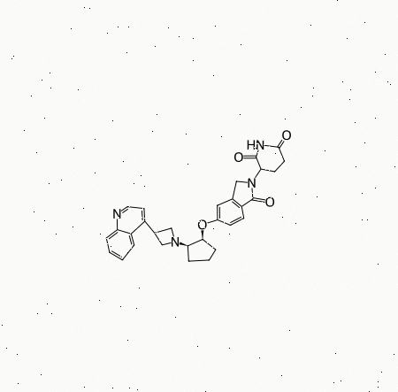 O=C1CCC(N2Cc3cc(O[C@H]4CCC[C@H]4N4CC(c5ccnc6ccccc56)C4)ccc3C2=O)C(=O)N1